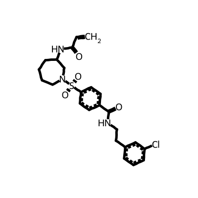 C=CC(=O)NC1CCCCN(S(=O)(=O)c2ccc(C(=O)NCCc3cccc(Cl)c3)cc2)C1